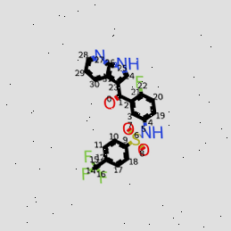 O=C(c1cc(NS(=O)(=O)c2ccc(C(F)(F)F)cc2)ccc1F)c1c[nH]c2ncccc12